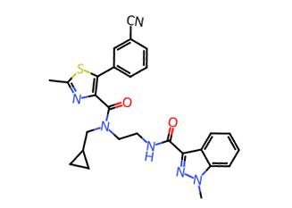 Cc1nc(C(=O)N(CCNC(=O)c2nn(C)c3ccccc23)CC2CC2)c(-c2cccc(C#N)c2)s1